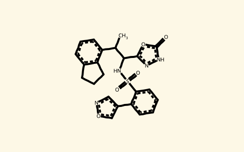 CC(c1cccc2c1CCC2)C(NS(=O)(=O)c1ccccc1-c1cnoc1)c1n[nH]c(=O)o1